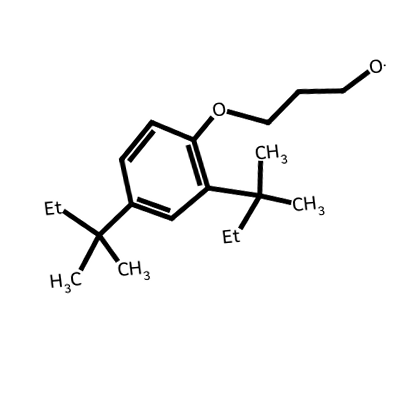 CCC(C)(C)c1ccc(OCCC[O])c(C(C)(C)CC)c1